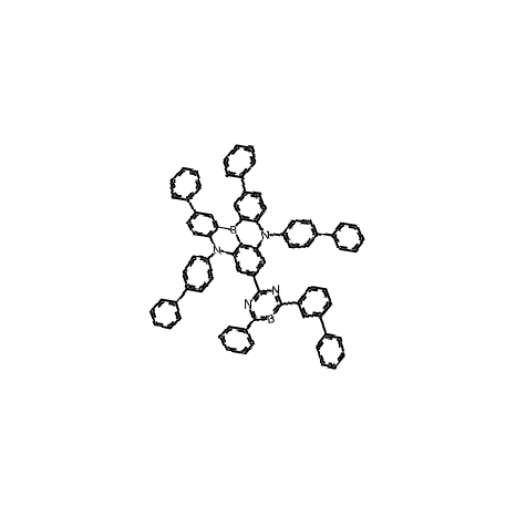 b1c(-c2ccccc2)nc(-c2cc3c4c(c2)N(c2ccc(-c5ccccc5)cc2)c2ccc(-c5ccccc5)cc2B4c2cc(-c4ccccc4)ccc2N3c2ccc(-c3ccccc3)cc2)nc1-c1cccc(-c2ccccc2)c1